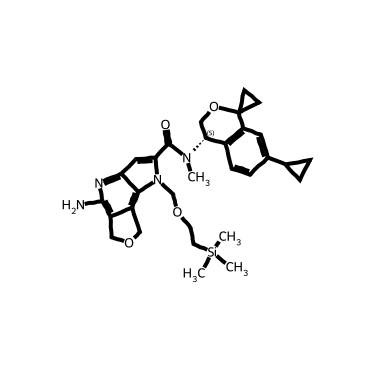 CN(C(=O)c1cc2nc(N)c3c(c2n1COCC[Si](C)(C)C)COC3)[C@@H]1COC2(CC2)c2cc(C3CC3)ccc21